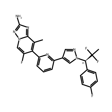 Cc1c(-c2cccc(-c3cnn([C@H](c4ccc(F)cc4)C(C)(F)F)c3)n2)c(F)cn2nc(N)nc12